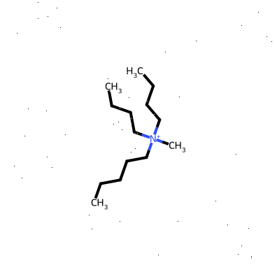 CCCCC[N+](C)(CCCC)CCCC